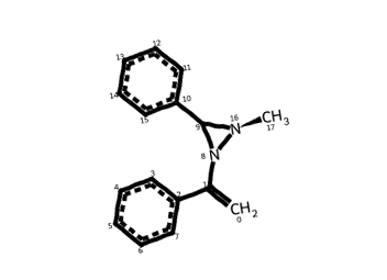 C=C(c1ccccc1)N1C(c2ccccc2)[N@@]1C